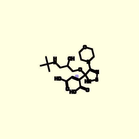 CC(C)(C)NCC(O)COC1(/C(=C/C(=O)O)C(=O)O)NSN=C1N1CCOCC1